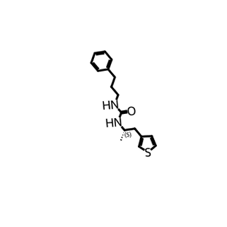 C[C@@H](Cc1ccsc1)NC(=O)NCCCc1ccccc1